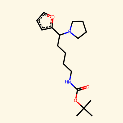 CC(C)(C)OC(=O)NCCCCC(c1ccco1)N1CCCC1